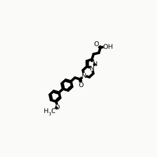 COc1cccc(-c2ccc(CC(=O)N3CCn4nc(CCC(=O)O)cc4C3)cc2)c1